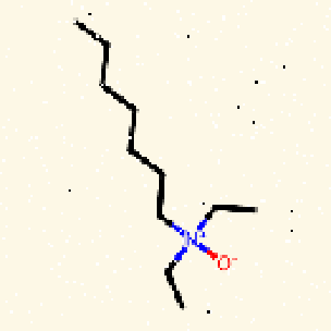 CCCCCCC[N+]([O-])(CC)CC